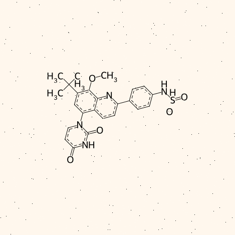 COc1c(C(C)(C)C)cc(-n2ccc(=O)[nH]c2=O)c2ccc(-c3ccc(N[SH](=O)=O)cc3)nc12